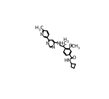 COc1cc(C(=O)NC2CCC2)ccc1C(C)CNc1cc(-c2ccc(C)nc2)ncn1